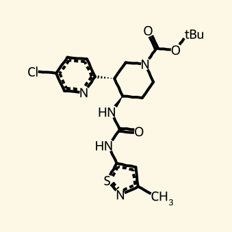 Cc1cc(NC(=O)N[C@@H]2CCN(C(=O)OC(C)(C)C)C[C@H]2c2ccc(Cl)cn2)sn1